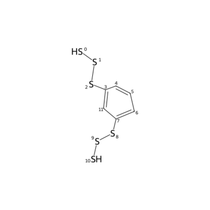 SSSc1cccc(SSS)c1